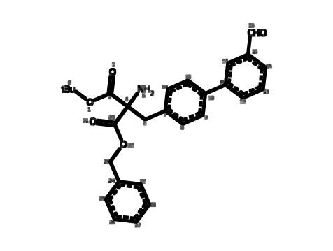 CC(C)(C)OC(=O)C(N)(Cc1ccc(-c2cccc(C=O)c2)cc1)C(=O)OCc1ccccc1